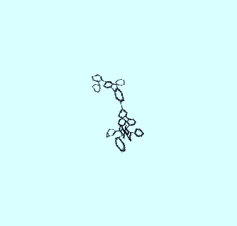 C1=C2C(=CCC1)C1(CCCCC1)c1cc3c(cc12)C1(CCCCC1)c1ccc(-c2ccc4oc5c(-c6nc(C7=CC8CC8CC7)c(-c7ccccc7)nc6-c6ccccc6)cccc5c4c2)cc1-3